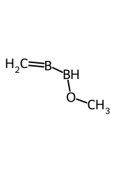 C=BBOC